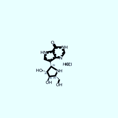 Cl.Cl.O=c1[nH]cnc2c([C@@H]3N[C@H](CO)[C@@H](O)[C@@H]3O)c[nH]c12